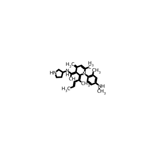 C=C1C=C(C)N(c2ccc(NC)cc2C)C(=C(C)/C=C/C)/C1=C(\C)NC1CCNC1